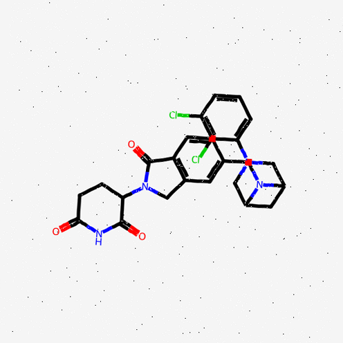 O=C1CCC(N2Cc3cc(CN4C5CC4CN(c4cccc(Cl)c4Cl)C5)ccc3C2=O)C(=O)N1